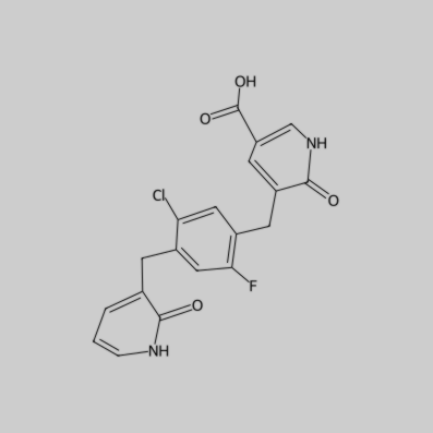 O=C(O)c1c[nH]c(=O)c(Cc2cc(Cl)c(Cc3ccc[nH]c3=O)cc2F)c1